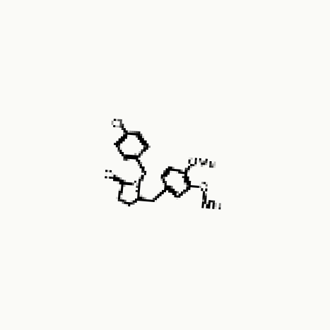 CCCCOc1cc(CC2CCC(=O)N2Cc2ccc(Cl)cc2)ccc1OC